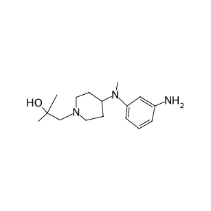 CN(c1cccc(N)c1)C1CCN(CC(C)(C)O)CC1